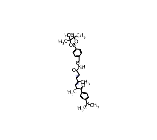 CC(/C=C/C(=O)NOCc1ccc(B2OC(C)(C)C(C)(C)O2)cc1)=C\C(C)C(=O)c1ccc(N(C)C)cc1